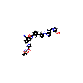 Cc1c(Nc2nccc3cc(CN4CC[C@@H](O)C4)cnc23)cccc1-c1cccc(-c2nc3cc4c(c(C#N)c3o2)CC[C@H]4N2CC[C@@H](C(=O)NS(=O)(=O)C3(C)CC3)C2)c1C